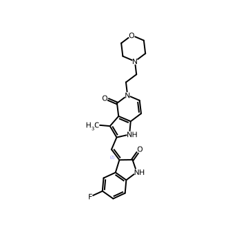 Cc1c(/C=C2\C(=O)Nc3ccc(F)cc32)[nH]c2ccn(CCN3CCOCC3)c(=O)c12